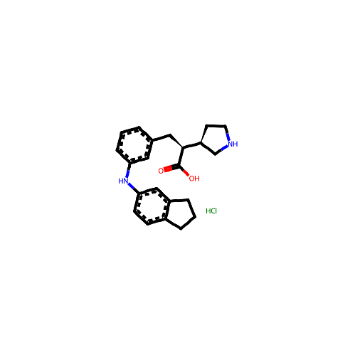 Cl.O=C(O)[C@@H](Cc1cccc(Nc2ccc3c(c2)CCC3)c1)[C@H]1CCNC1